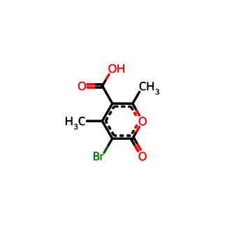 Cc1oc(=O)c(Br)c(C)c1C(=O)O